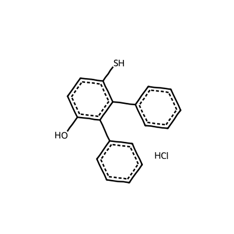 Cl.Oc1ccc(S)c(-c2ccccc2)c1-c1ccccc1